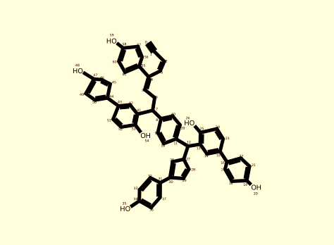 C#C/C=C\C(=C/CC(c1ccc(C(c2cc(-c3ccc(O)cc3)ccc2O)C2C=CC(c3ccc(O)cc3)=C2)cc1)c1cc(-c2ccc(O)cc2)ccc1O)c1ccc(O)cc1